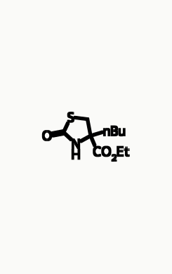 CCCCC1(C(=O)OCC)CSC(=O)N1